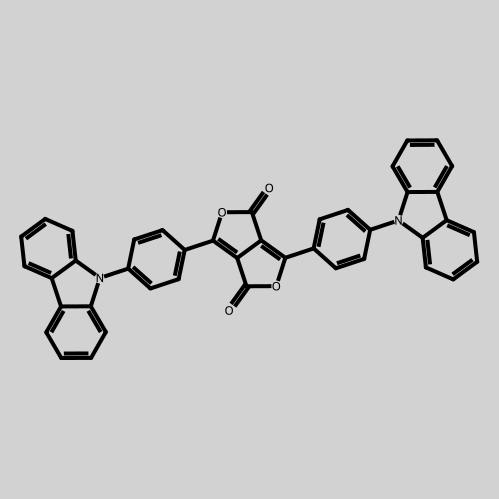 O=C1OC(c2ccc(-n3c4ccccc4c4ccccc43)cc2)=C2C(=O)OC(c3ccc(-n4c5ccccc5c5ccccc54)cc3)=C12